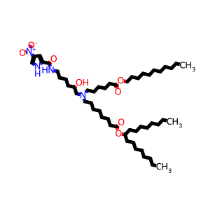 CCCCCCCCCCCOC(=O)CCCCCN(CCCCCCCC(=O)OC(CCCCCCCC)CCCCCCCC)CC(O)CCCCNC(=O)c1cc([N+](=O)[O-])c[nH]1